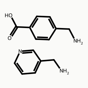 NCc1ccc(C(=O)O)cc1.NCc1cccnc1